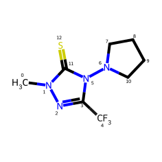 Cn1nc(C(F)(F)F)n(N2CCCC2)c1=S